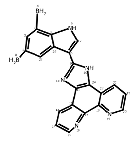 Bc1cc(B)c2[nH]cc(-c3nc4c5cccnc5c5ncccc5c4[nH]3)c2c1